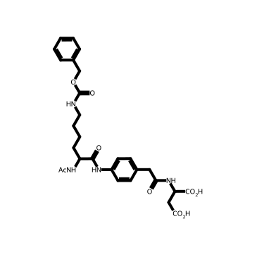 CC(=O)NC(CCCCNC(=O)OCc1ccccc1)C(=O)Nc1ccc(CC(=O)NC(CC(=O)O)C(=O)O)cc1